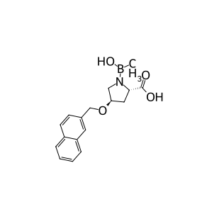 CB(O)N1C[C@H](OCc2ccc3ccccc3c2)C[C@H]1C(=O)O